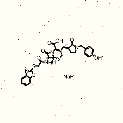 O=C(CSc1nc2ccccc2o1)N[C@@H]1C(=O)N2C(C(=O)O)=C(/C=C3\CCN(Cc4ccc(O)cc4)C3=O)CS[C@H]12.[NaH]